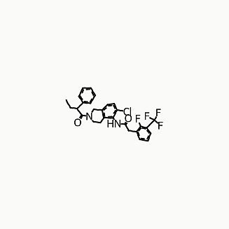 CCC(C(=O)N1CCc2c(ccc(Cl)c2NC(=O)Cc2cccc(C(F)(F)F)c2F)C1)c1ccccc1